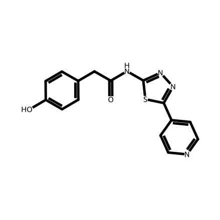 O=C(Cc1ccc(O)cc1)Nc1nnc(-c2ccncc2)s1